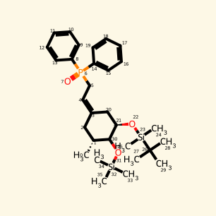 C[C@@H]1C/C(=C/CP(=O)(c2ccccc2)c2ccccc2)C[C@@H](O[Si](C)(C)C(C)(C)C)C1O[Si](C)(C)C